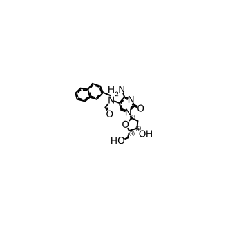 Nc1nc(=O)n([C@H]2C[C@H](O)[C@@H](CO)O2)cc1N(C=O)Cc1ccc2ccccc2c1